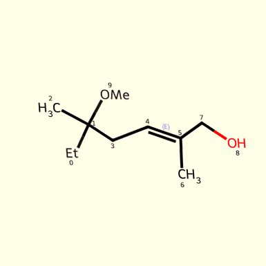 CCC(C)(C/C=C(\C)CO)OC